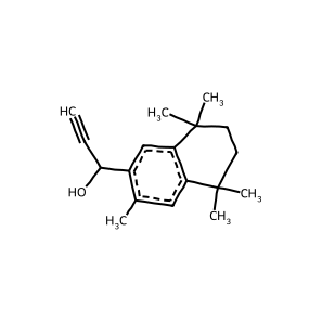 C#CC(O)c1cc2c(cc1C)C(C)(C)CCC2(C)C